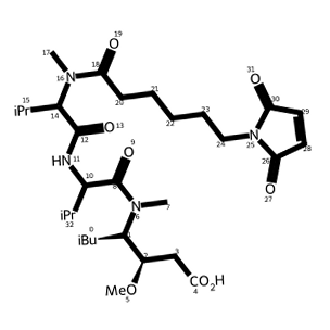 CC[C@H](C)C([C@@H](CC(=O)O)OC)N(C)C(=O)C(NC(=O)C(C(C)C)N(C)C(=O)CCCCCN1C(=O)C=CC1=O)C(C)C